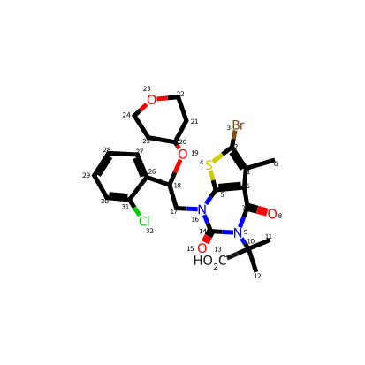 Cc1c(Br)sc2c1c(=O)n(C(C)(C)C(=O)O)c(=O)n2CC(OC1CCOCC1)c1ccccc1Cl